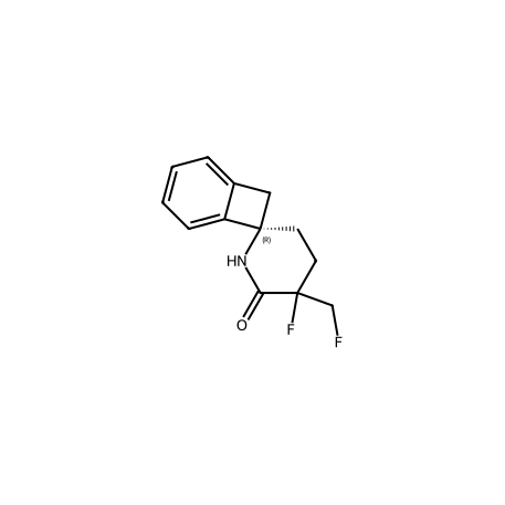 O=C1N[C@]2(CCC1(F)CF)Cc1ccccc12